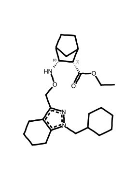 CCOC(=O)[C@H]1C2CCC(C2)[C@H]1NOCc1nn(CC2CCCCC2)c2c1CCCC2